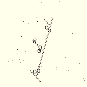 CCCCC(CCCC)CC(=O)OCCCCCCCCCCC(CCCCCCCCCCOC(=O)CC(CCCC)CCCC)C(=O)OCCCN(C)CC